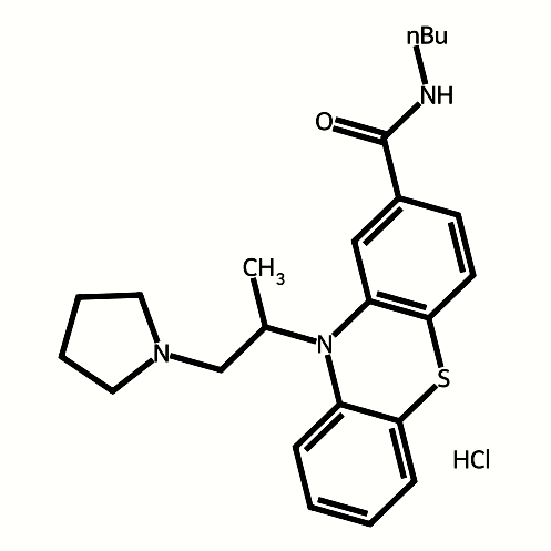 CCCCNC(=O)c1ccc2c(c1)N(C(C)CN1CCCC1)c1ccccc1S2.Cl